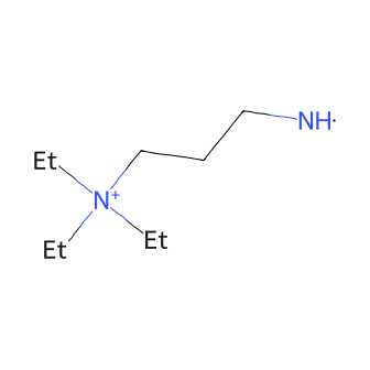 CC[N+](CC)(CC)CCC[NH]